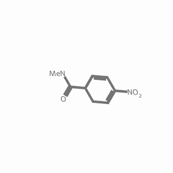 CNC(=O)C1C=CC([N+](=O)[O-])=CC1